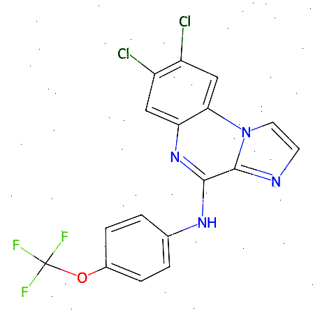 FC(F)(F)Oc1ccc(Nc2nc3cc(Cl)c(Cl)cc3n3ccnc23)cc1